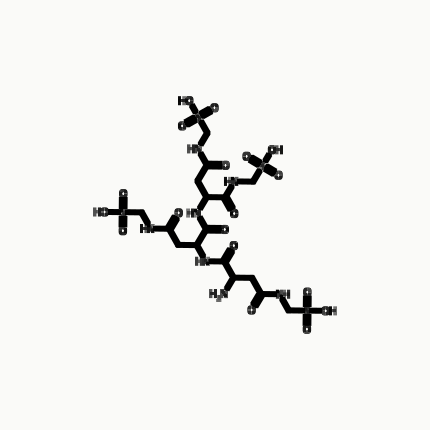 NC(CC(=O)NCS(=O)(=O)O)C(=O)NC(CC(=O)NCS(=O)(=O)O)C(=O)NC(CC(=O)NCS(=O)(=O)O)C(=O)NCS(=O)(=O)O